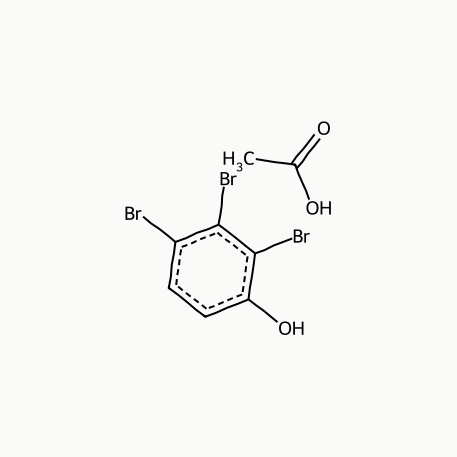 CC(=O)O.Oc1ccc(Br)c(Br)c1Br